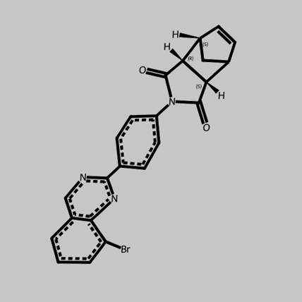 O=C1[C@@H]2[C@@H]3C=CC(C3)[C@@H]2C(=O)N1c1ccc(-c2ncc3cccc(Br)c3n2)cc1